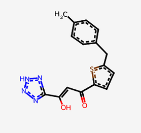 Cc1ccc(Cc2ccc(C(=O)C=C(O)c3nn[nH]n3)s2)cc1